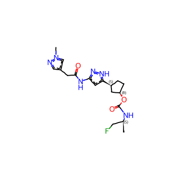 C[C@@H](CF)NC(=O)O[C@@H]1CC[C@H](c2cc(NC(=O)Cc3cnn(C)c3)n[nH]2)C1